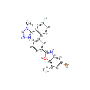 Cn1cnnc1-c1cc(F)ccc1-c1cccc(-c2nc3cc(Br)cc(C(F)(F)F)c3o2)c1